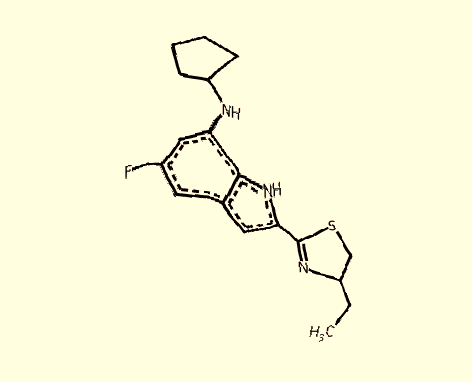 CCC1CSC(c2cc3cc(F)cc(NC4CCCC4)c3[nH]2)=N1